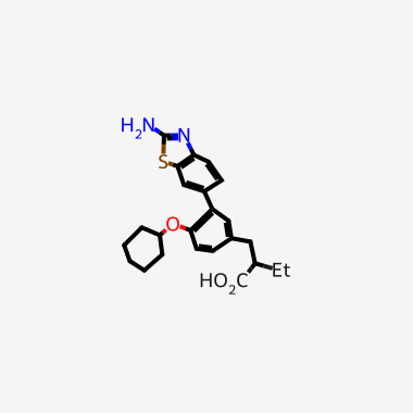 CCC(Cc1ccc(OC2CCCCC2)c(-c2ccc3nc(N)sc3c2)c1)C(=O)O